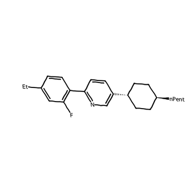 CCCCC[C@H]1CC[C@H](c2ccc(-c3ccc(CC)cc3F)nc2)CC1